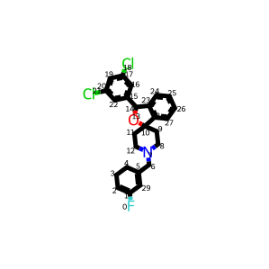 FC1=CCCC(CN2CCC3(CC2)OC(c2cc(Cl)cc(Cl)c2)c2ccccc23)=C1